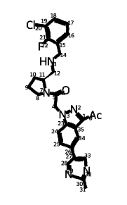 CC(=O)c1nn(CC(=O)N2CCC[C@H]2CNCc2cccc(Cl)c2F)c2ccc(-c3cnc(C)nc3)cc12